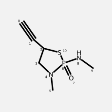 C#CC1CN(C)P(=O)(NC)S1